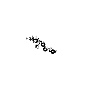 NC(=NO)c1cc2nc(CN3CCC(c4cccc(OCc5ccc(F)cc5F)n4)CC3)n(C[C@@H]3CCO3)c2cn1